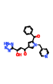 O=C(C=C(O)c1nn[nH]n1)c1cc(C(=O)c2ccccc2)n(Cc2ccncc2)c1